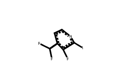 Fc1c(C(F)F)ccnc1I